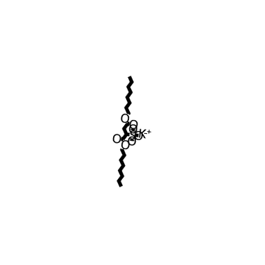 CCCCCCCCOC(=O)CC(C(=O)OCCCCCCCC)S(=O)(=O)[O-].[K+]